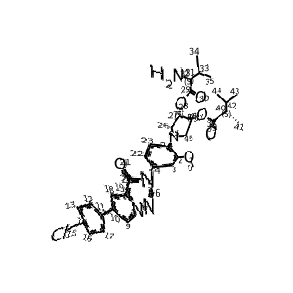 COc1cc(-n2cnn3cc(-c4ccc(Cl)cc4)cc3c2=O)ccc1N1C[C@H](OC(=O)[C@@H](N)C(C)C)[C@H](OC(=O)[C@@H](C)C(C)C)C1